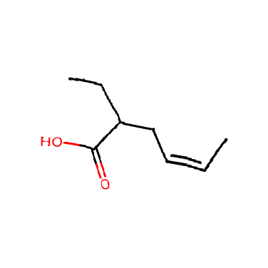 C/C=C\CC(CC)C(=O)O